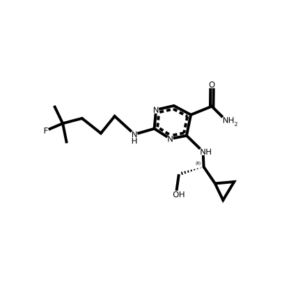 CC(C)(F)CCCNc1ncc(C(N)=O)c(N[C@@H](CO)C2CC2)n1